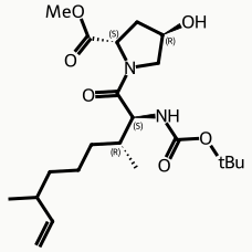 C=CC(C)CCC[C@@H](C)[C@H](NC(=O)OC(C)(C)C)C(=O)N1C[C@H](O)C[C@H]1C(=O)OC